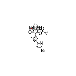 Cc1sc(-c2ccc(Br)cn2)nc1C1=C(OC(=O)C2CC2)[C@@H]2[C@H](C1=O)[C@H]1CC[C@@H]2O1